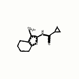 CCOC(=O)c1c(NC(=O)C2CC2)sc2c1CCCC2